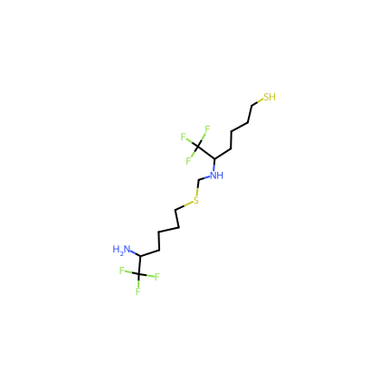 NC(CCCCSCNC(CCCCS)C(F)(F)F)C(F)(F)F